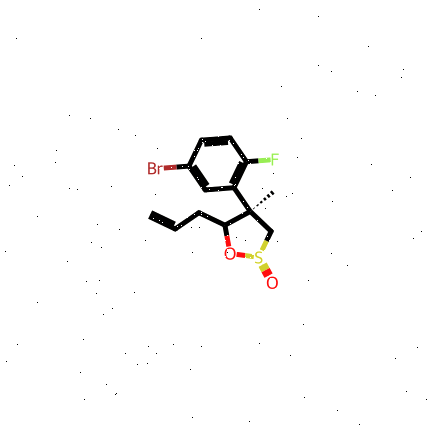 C=CCC1OS(=O)C[C@]1(C)c1cc(Br)ccc1F